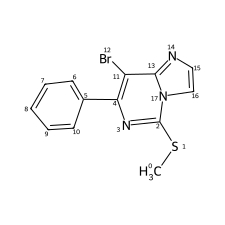 CSc1nc(-c2ccccc2)c(Br)c2nccn12